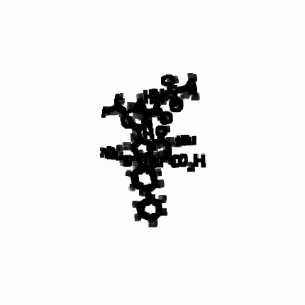 CCCCS[C@@]1(c2ccc(-c3ccccc3)cc2)C[C@@H](C(=O)N[C@]2(C(=O)NS(=O)(=O)C3CC3)C[C@H]2C=C(F)F)N(C(=O)[C@@H](N(C(=O)O)C(C)(C)C)C(C)(C)C)C1